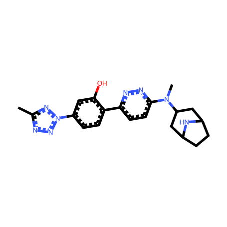 Cc1nnn(-c2ccc(-c3ccc(N(C)C4CC5CCC(C4)N5)nn3)c(O)c2)n1